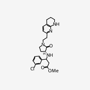 COC(=O)CC(N[C@@H]1CCN(CCc2ccc3c(n2)NCCC3)C1=O)c1cccc(Cl)c1